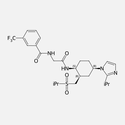 CC(C)c1nccn1[C@@H]1CC[C@H](NC(=O)CNC(=O)c2cccc(C(F)(F)F)c2)[C@H](CS(=O)(=O)C(C)C)C1